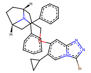 Brc1nnc2cc(OCC3C[C@H]4CC[C@@H](C3)N4C(c3ccccc3)c3ccccc3)c(C3CC3)cn12